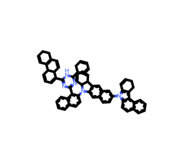 C1=CCC(C2N=C(c3c(N4c5cc6ccc(-n7c8c(c9c%10ccccc%10ccc97)CCC=C8)cc6cc5C5C=CC=CC54)ccc4ccccc34)N=C(C3=CC=CC4C5=C(C=CC34)CCC=C5)N2)C=C1